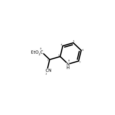 CCOC(=O)C(C#N)[C]1C=CC=CN1